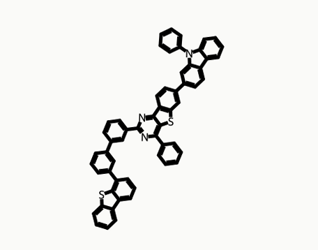 c1ccc(-c2nc(-c3cccc(-c4cccc(-c5cccc6c5sc5ccccc56)c4)c3)nc3c2sc2cc(-c4ccc5c6ccccc6n(-c6ccccc6)c5c4)ccc23)cc1